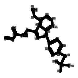 C=CC(=O)NCc1nn(-c2ccc(OC(F)(F)F)cc2)c2nccc(CO)c12